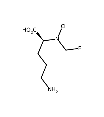 NCCC[C@@H](C(=O)O)N(Cl)CF